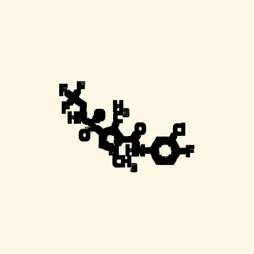 Cc1c(S(=O)(=O)NCC(F)(F)F)cn(C)c1C(=O)Nc1ccc(F)c(Cl)c1